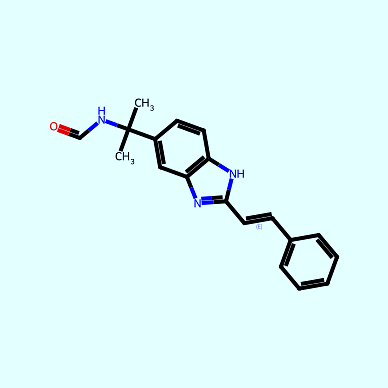 CC(C)(NC=O)c1ccc2[nH]c(/C=C/c3ccccc3)nc2c1